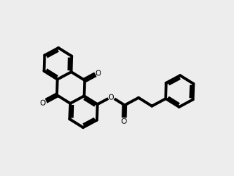 O=C(CCc1ccccc1)Oc1cccc2c1C(=O)c1ccccc1C2=O